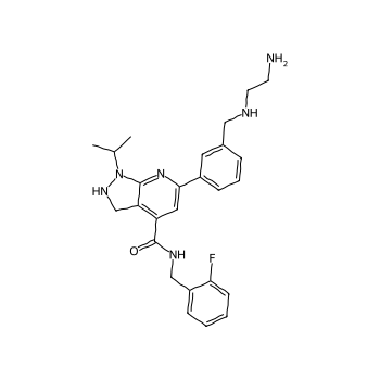 CC(C)N1NCc2c(C(=O)NCc3ccccc3F)cc(-c3cccc(CNCCN)c3)nc21